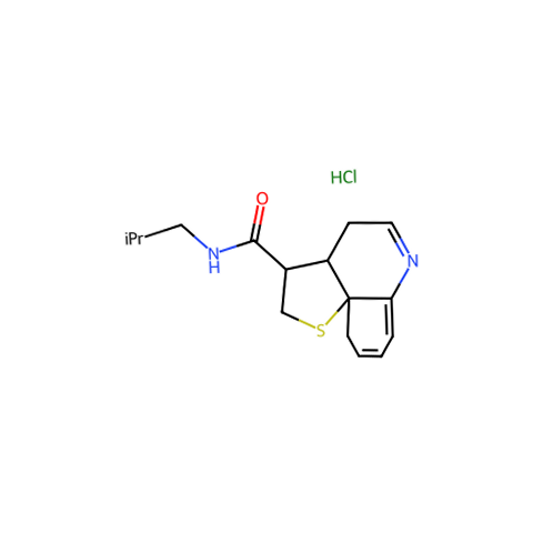 CC(C)CNC(=O)C1CSC23CC=CC=C2N=CCC13.Cl